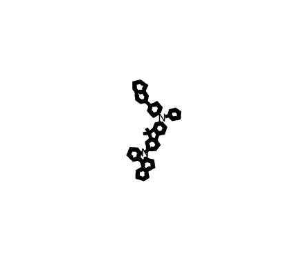 CC1(C)c2cc(N(c3ccccc3)c3ccc(-c4ccc5ccccc5c4)cc3)ccc2-c2ccc(-n3c4ccccc4c4c5ccccc5ccc43)cc21